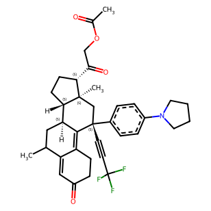 CC(=O)OCC(=O)[C@H]1CC[C@H]2[C@@H]3CC(C)C4=CC(=O)CCC4=C3[C@@](C#CC(F)(F)F)(c3ccc(N4CCCC4)cc3)C[C@]12C